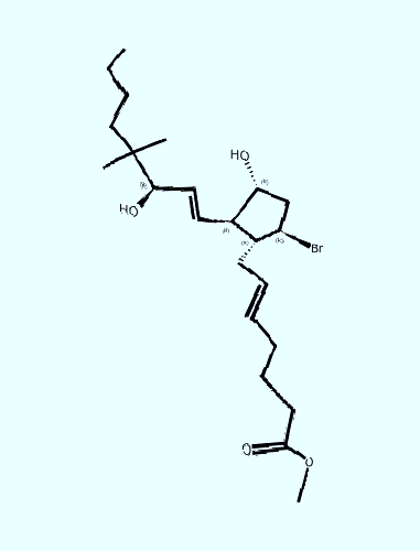 CCCCC(C)(C)[C@H](O)C=C[C@@H]1[C@@H](CC=CCCCC(=O)OC)[C@H](Br)C[C@H]1O